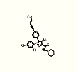 [C-]#[N+]CCC#Cc1ccc(-c2c(CC)c(C(=O)NN3CCCCC3)nn2-c2ccc(Cl)cc2Cl)cc1